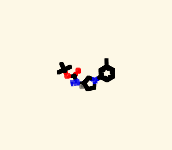 Cc1cccc(N2CC[C@H](NC(=O)OC(C)(C)C)C2)c1